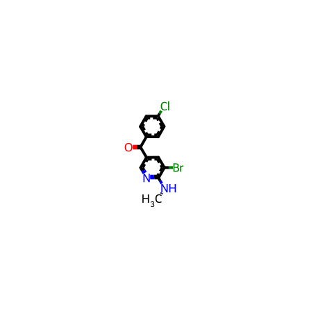 CNc1ncc(C(=O)c2ccc(Cl)cc2)cc1Br